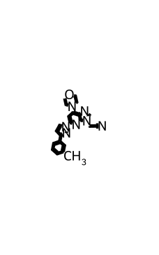 Cc1cccc(-c2ccn(-c3cc(N4CCOCC4)c4ncn(CC#N)c4n3)n2)c1